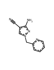 N#Cc1cn(Cc2ccccn2)nc1N